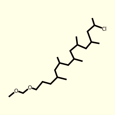 COCOCCCC(C)CC(C)CC(C)CC(C)CC(C)CC(C)Cl